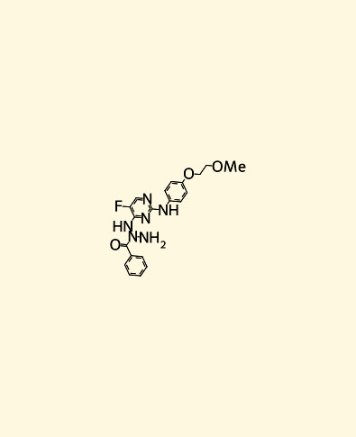 COCCOc1ccc(Nc2ncc(F)c(NN(N)C(=O)c3ccccc3)n2)cc1